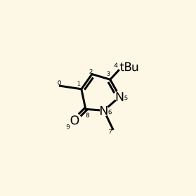 Cc1cc(C(C)(C)C)nn(C)c1=O